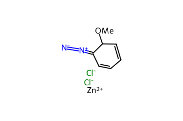 COC1C=CC=CC1=[N+]=[N-].[Cl-].[Cl-].[Zn+2]